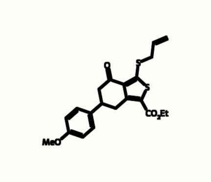 C=CCSc1sc(C(=O)OCC)c2c1C(=O)CC(c1ccc(OC)cc1)C2